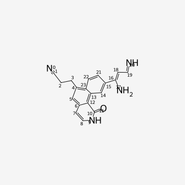 N#CCCc1cc2cc[nH]c(=O)c2c2cc(/C(N)=C/C=N)ccc12